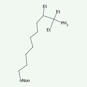 CCCCCCCCCCCCCCCCC(CC)C(P)(CC)CC